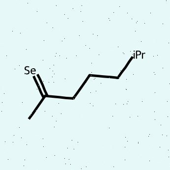 CC(=[Se])CCCC(C)C